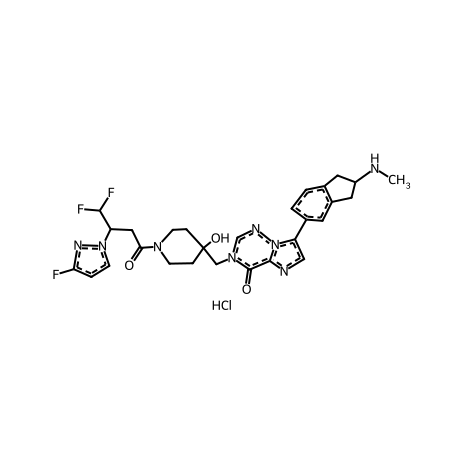 CNC1Cc2ccc(-c3cnc4c(=O)n(CC5(O)CCN(C(=O)CC(C(F)F)n6ccc(F)n6)CC5)cnn34)cc2C1.Cl